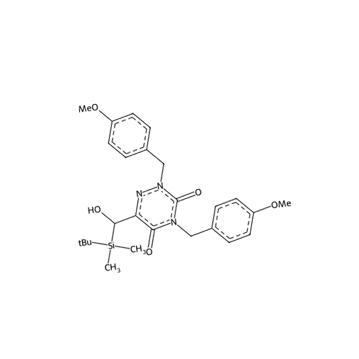 COc1ccc(Cn2nc(C(O)[Si](C)(C)C(C)(C)C)c(=O)n(Cc3ccc(OC)cc3)c2=O)cc1